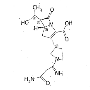 C[C@@H](O)[C@H]1C(=O)N2C(C(=O)O)=C([C@@H]3CCN(C(=N)CC(N)=O)C3)C[C@H]12